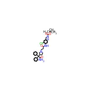 CC(C)(C)OC(=O)NCc1ccc(NC(=O)CCN2CCC(C(C(N)=O)(c3ccccc3)c3ccccc3)C2)c(Cl)c1